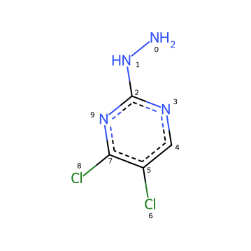 NNc1ncc(Cl)c(Cl)n1